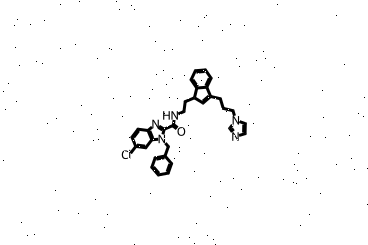 O=C(NCCC1C=C(CCCn2ccnc2)c2ccccc21)c1nc2ccc(Cl)cc2n1Cc1ccccc1